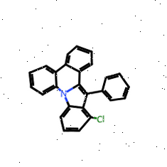 Clc1cccc2c1c(-c1ccccc1)c1c3ccccc3c3ccccc3n21